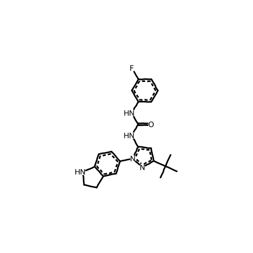 CC(C)(C)c1cc(NC(=O)Nc2cccc(F)c2)n(-c2ccc3c(c2)CCN3)n1